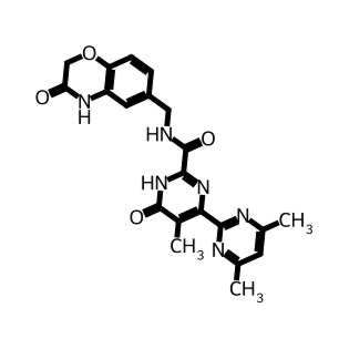 Cc1cc(C)nc(-c2nc(C(=O)NCc3ccc4c(c3)NC(=O)CO4)[nH]c(=O)c2C)n1